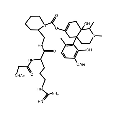 COc1ccc(C)c(C23CCN(C)C(C)C2(O)CC=C(OC(=O)N2CCCCC2CNC(=O)C(CCCNC(=N)N)NC(=O)CNC(C)=O)C3)c1O